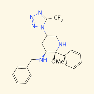 CO[C@]1(c2ccccc2)NCC(n2nnnc2C(F)(F)F)C[C@@H]1NCc1ccccc1